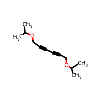 CC(C)OCC#CC#CCOC(C)C